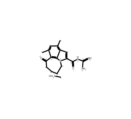 CS(=O)(=O)O.Cc1cc(C)c2cc(C(=O)NC(=N)N)n3c2c1C(=O)CCCC3